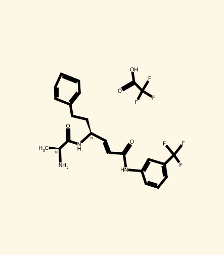 C[C@H](N)C(=O)N[C@H](C=CC(=O)Nc1cccc(C(F)(F)F)c1)CCc1ccccc1.O=C(O)C(F)(F)F